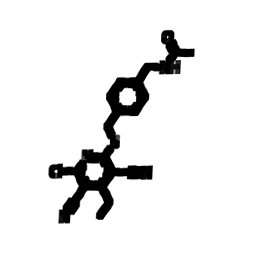 CCc1c(C#N)c(Cl)nc(SCc2ccc(CNC(C)=O)cc2)c1C#N